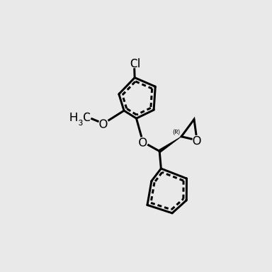 COc1cc(Cl)ccc1OC(c1ccccc1)[C@H]1CO1